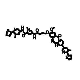 COc1cc2c(cc1OCCCC(=O)Nc1cc(C(=O)Nc3cnc(-c4cccs4)c(C)c3)n(C)c1)N=C[C@@H]1CC(c3cnc(-c4cccs4)c(C)c3)=CCN1C2=O